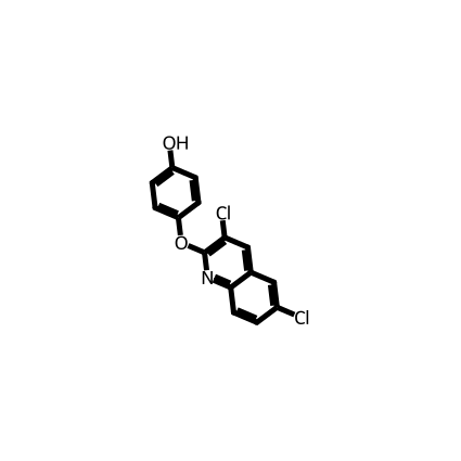 Oc1ccc(Oc2nc3ccc(Cl)cc3cc2Cl)cc1